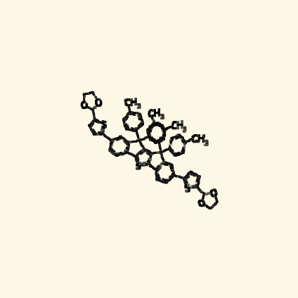 Cc1ccc(C2(c3ccc(C)cc3)c3cc(-c4ccc(C5OCCO5)s4)ccc3-c3sc4c(c32)C(c2ccc(C)cc2)(c2ccc(C)cc2)c2cc(-c3ccc(C5OCCO5)s3)ccc2-4)cc1